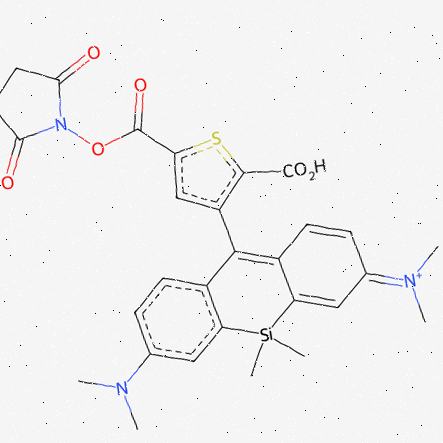 CN(C)c1ccc2c(c1)[Si](C)(C)C1=CC(=[N+](C)C)C=CC1=C2c1cc(C(=O)ON2C(=O)CCC2=O)sc1C(=O)O